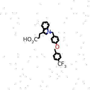 O=C(O)CCc1cn(Cc2ccc(OCc3ccc(C(F)(F)F)cc3)cc2)c2ccccc12